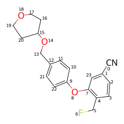 N#Cc1ccc(CF)c(Oc2ccc(COC3CCOCC3)cc2)c1